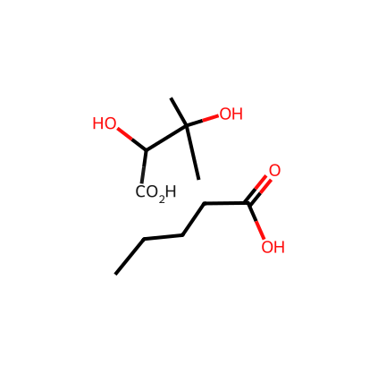 CC(C)(O)C(O)C(=O)O.CCCCC(=O)O